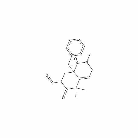 CN1CC=C2C(C)(C)C(=O)C(C=O)CC2(Cc2ccccc2)C1=O